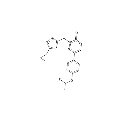 CC(F)Oc1ccc(-c2ccc(=O)n(Cc3cc(C4CC4)no3)n2)cc1